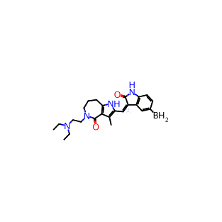 Bc1ccc2c(c1)/C(=C/c1[nH]c3c(c1C)C(=O)N(CCN(CC)CC)CCC3)C(=O)N2